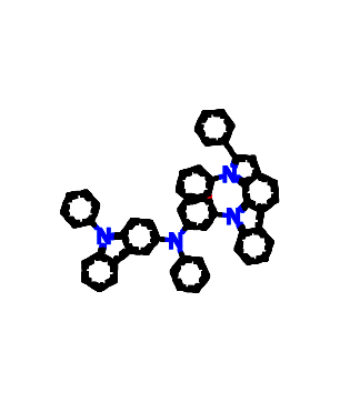 c1ccc(-c2cc3ccc4c5ccccc5n(-c5cccc(N(c6ccccc6)c6ccc7c(c6)c6ccccc6n7-c6ccccc6)c5)c4c3n2-c2ccccc2)cc1